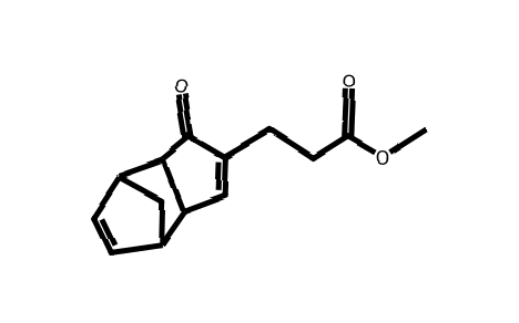 COC(=O)CCC1=CC2C3C=CC(C3)C2C1=O